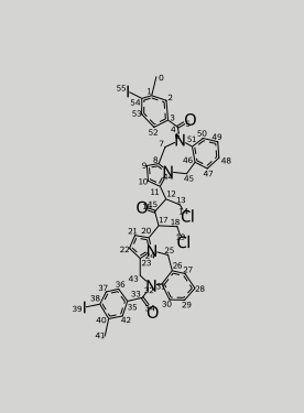 Cc1cc(C(=O)N2Cc3ccc(C(CCl)C(=O)C(CCl)c4ccc5n4Cc4ccccc4N(C(=O)c4ccc(I)c(C)c4)C5)n3Cc3ccccc32)ccc1I